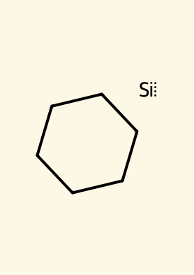 C1CCCCC1.[Si]